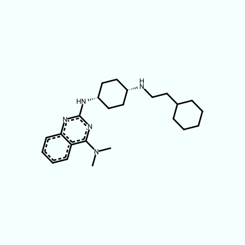 CN(C)c1nc(N[C@H]2CC[C@@H](NCCC3CCCCC3)CC2)nc2ccccc12